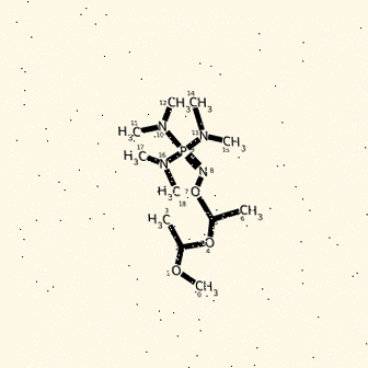 COC(C)OC(C)ON=P(N(C)C)(N(C)C)N(C)C